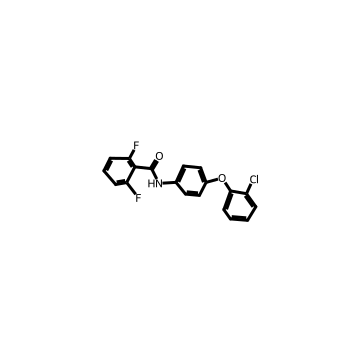 O=C(Nc1ccc(Oc2ccccc2Cl)cc1)c1c(F)cccc1F